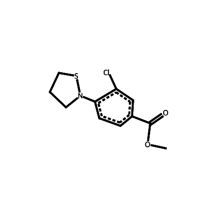 COC(=O)c1ccc(N2CCCS2)c(Cl)c1